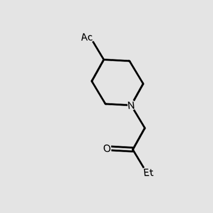 CCC(=O)CN1CCC(C(C)=O)CC1